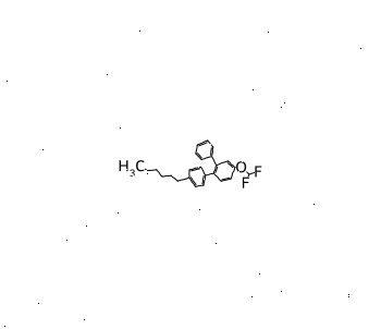 CCCCCCc1ccc(-c2ccc(OC(F)F)cc2-c2ccccc2)cc1